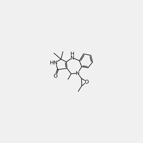 CC1OC1N1c2ccccc2NC2=C(C(=O)NC2(C)C)C1C